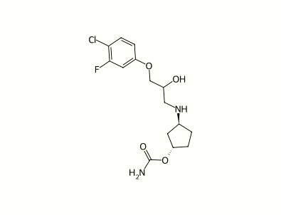 NC(=O)O[C@H]1CC[C@H](NCC(O)COc2ccc(Cl)c(F)c2)C1